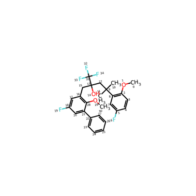 COc1ccc(F)cc1C(C)(C)CC(O)(Cc1cc(F)cc(-c2ccccc2)c1OC)C(F)(F)F